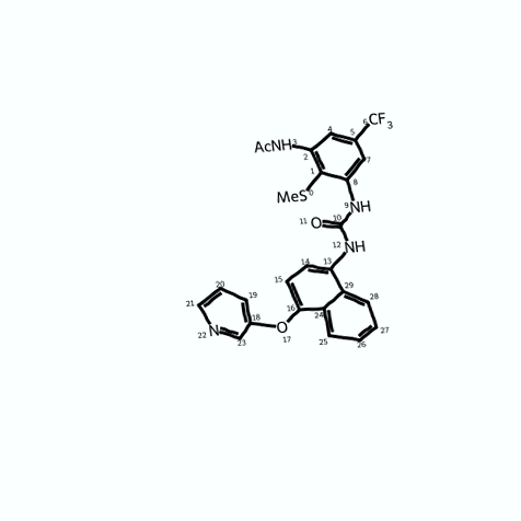 CSc1c(NC(C)=O)cc(C(F)(F)F)cc1NC(=O)Nc1ccc(Oc2cccnc2)c2ccccc12